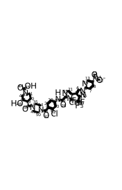 Cn1c(-c2cn(-c3ccc([N+](=O)[O-])cn3)nc2C(F)(F)F)cnc1C(=O)Nc1ccc(C(=O)N2CCN(C(=O)[C@@H]3CCN(C(=O)O)C[C@H]3O)CC2)c(Cl)c1